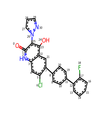 O=c1[nH]c2cc(Cl)c(-c3ccc(-c4ccccc4F)cc3)cc2c(O)c1-n1cccn1